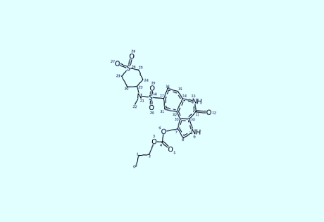 CCCOC(=O)Oc1c[nH]c2c(=O)[nH]c3ccc(S(=O)(=O)N(C)C4CCS(=O)(=O)CC4)cc3c12